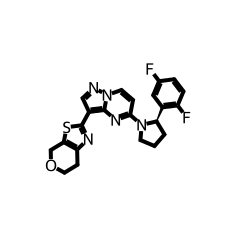 Fc1ccc(F)c([C@H]2CCCN2c2ccn3ncc(-c4nc5c(s4)COCC5)c3n2)c1